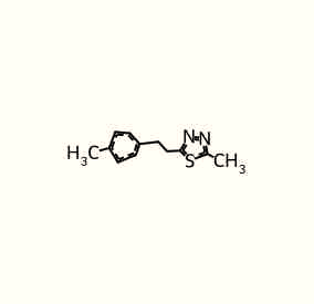 Cc1ccc(CCc2nnc(C)s2)cc1